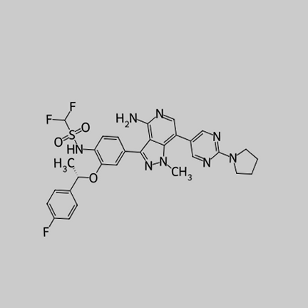 C[C@H](Oc1cc(-c2nn(C)c3c(-c4cnc(N5CCCC5)nc4)cnc(N)c23)ccc1NS(=O)(=O)C(F)F)c1ccc(F)cc1